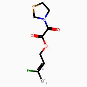 O=C(OC/C=C(\F)C(F)(F)F)C(=O)N1CCSC1